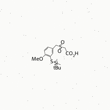 COc1ccc(CS(=O)(=O)CC(=O)O)cc1S[Si](C)(C)C(C)(C)C